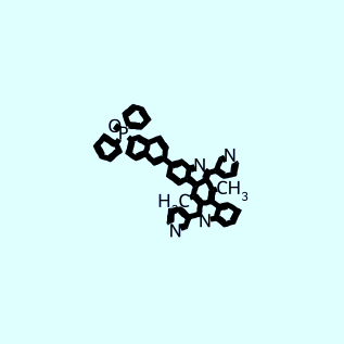 Cc1c2c(-c3cccnc3)nc3cc(-c4ccc5cc(P(=O)(c6ccccc6)c6ccccc6)ccc5c4)ccc3c2c(C)c2c(-c3cccnc3)nc3ccccc3c12